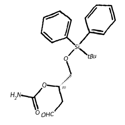 CC(C)(C)[Si](OC[C@H](CC=O)OC(N)=O)(c1ccccc1)c1ccccc1